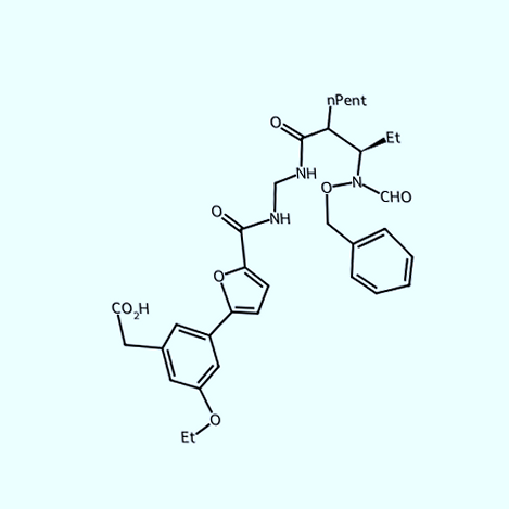 CCCCCC(C(=O)NCNC(=O)c1ccc(-c2cc(CC(=O)O)cc(OCC)c2)o1)[C@@H](CC)N(C=O)OCc1ccccc1